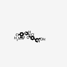 Nc1noc2c(N3CC[C@@H](NC(=O)c4ccc(-c5ccnc(CO)c5)cc4Cl)C3)ccc(Cl)c12